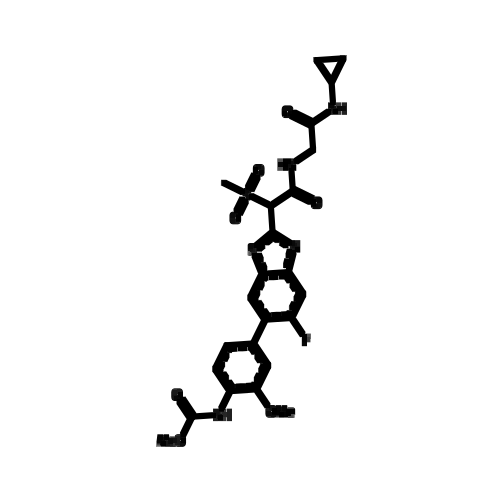 COC(=O)Nc1ccc(-c2cc3sc(C(C(=O)NCC(=O)NC4CC4)S(C)(=O)=O)nc3cc2F)cc1OC